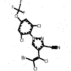 N#Cc1nn(-c2c(Cl)cc(OC(F)(F)F)cc2Cl)cc1C(Cl)=C(Cl)Br